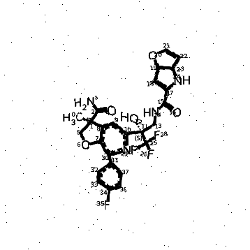 C[C@]1(C(N)=O)COc2c1cc([C@@](O)(CNC(=O)C1=CC3OC=CC3N1)C(F)(F)F)nc2-c1ccc(F)cc1